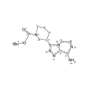 CC(C)(C)OC(=O)N1CCCC(c2nnc3c(N)nccn23)C1